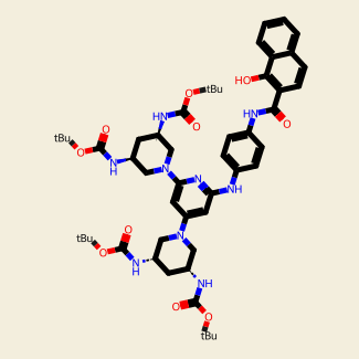 CC(C)(C)OC(=O)N[C@@H]1C[C@H](NC(=O)OC(C)(C)C)CN(c2cc(Nc3ccc(NC(=O)c4ccc5ccccc5c4O)cc3)nc(N3C[C@H](NC(=O)OC(C)(C)C)C[C@H](NC(=O)OC(C)(C)C)C3)c2)C1